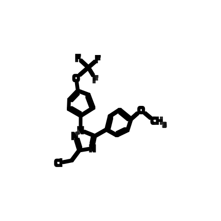 COc1ccc(-c2nc(CCl)nn2-c2ccc(OC(F)(F)F)cc2)cc1